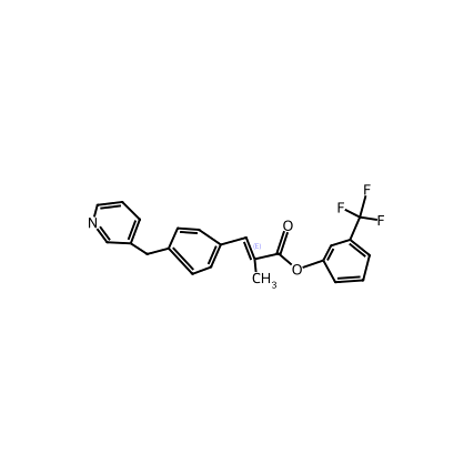 C/C(=C\c1ccc(Cc2cccnc2)cc1)C(=O)Oc1cccc(C(F)(F)F)c1